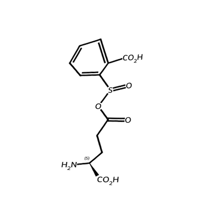 N[C@@H](CCC(=O)OS(=O)c1ccccc1C(=O)O)C(=O)O